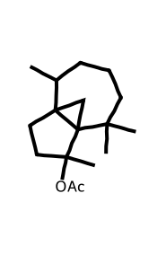 CC(=O)OC1(C)CCC23CC12C(C)(C)CCCC3C